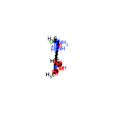 Cc1nc(N)c(C(=O)NC(=N)NCCCCCCCOCCN(C[C@@H]2O[C@H](C)OC[C@H]2O)C[C@@H]2O[C@H](C)OC[C@H]2O)nc1Cl